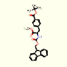 COC(=O)C(Cc1ccc(C(=O)OC(C)(C)C)cc1)NC(=O)OCC1c2ccccc2-c2ccccc21